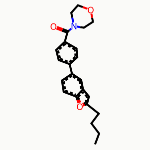 CCCCc1cc2cc(-c3ccc(C(=O)N4CCOCC4)cc3)ccc2o1